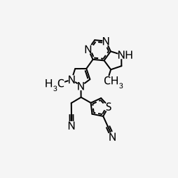 CC1CNc2ncnc(C3=CN(C(CC#N)c4csc(C#N)c4)N(C)C3)c21